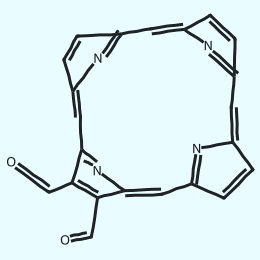 O=CC1=C(C=O)C2=NC1=CC1=NC(=CC3=NC(=CC4=NC(=C2)C=C4)C=C3)C=C1